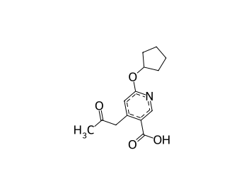 CC(=O)Cc1cc(OC2CCCC2)ncc1C(=O)O